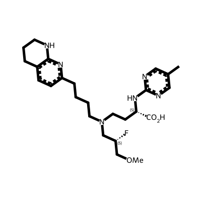 COC[C@@H](F)CN(CCCCc1ccc2c(n1)NCCC2)CC[C@H](Nc1ncc(C)cn1)C(=O)O